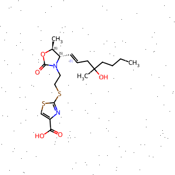 CCCCC(C)(O)C/C=C/[C@H]1[C@H](C)OC(=O)N1CCSc1nc(C(=O)O)cs1